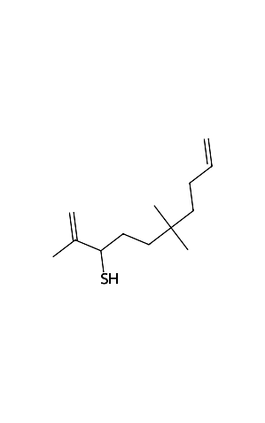 C=CCCC(C)(C)CCC(S)C(=C)C